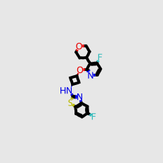 Fc1ccc2sc(N[C@H]3C[C@H](Oc4nccc(F)c4C4CCOCC4)C3)nc2c1